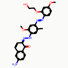 COc1ccc(/N=N/c2cc(OC)c(N/N=C3/C=Cc4cc(N)ccc4C3=O)cc2C)c(OCCO)c1